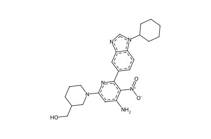 Nc1cc(N2CCCC(CO)C2)nc(-c2ccc3c(c2)ncn3C2CCCCC2)c1[N+](=O)[O-]